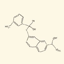 CCCCCCCCC(O)c1ccc2ccc(SC(O)(O)c3cccc(C(=O)O)c3)cc2c1